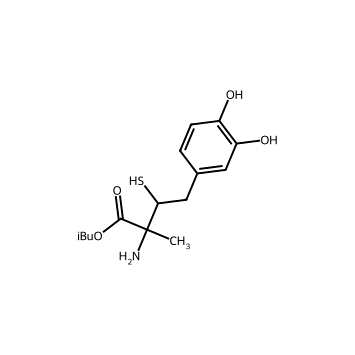 CC(C)COC(=O)C(C)(N)C(S)Cc1ccc(O)c(O)c1